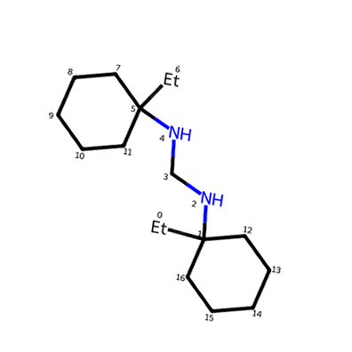 CCC1(NCNC2(CC)CCCCC2)CCCCC1